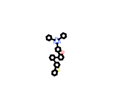 c1ccc(-c2nc(-c3ccccc3)nc(-c3ccc4c(c3)oc3cccc(-c5ccccc5-c5ccc6sc7ccccc7c6c5)c34)n2)cc1